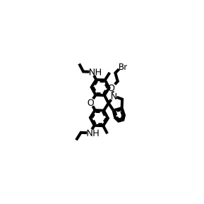 CCNc1cc2c(cc1C)C1(c3ccccc3CN1OCCBr)c1cc(C)c(NCC)cc1O2